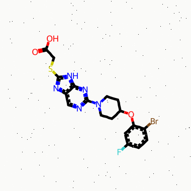 O=C(O)CSc1nc2cnc(N3CCC(Oc4cc(F)ccc4Br)CC3)nc2[nH]1